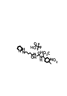 Cc1ccc(C(CC(=O)O)NC(=O)CNC(=O)CCCNc2ccccn2)cc1[N+](=O)[O-].O=C(O)C(F)(F)F